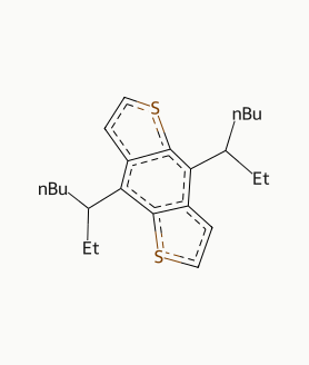 CCCCC(CC)c1c2ccsc2c(C(CC)CCCC)c2ccsc12